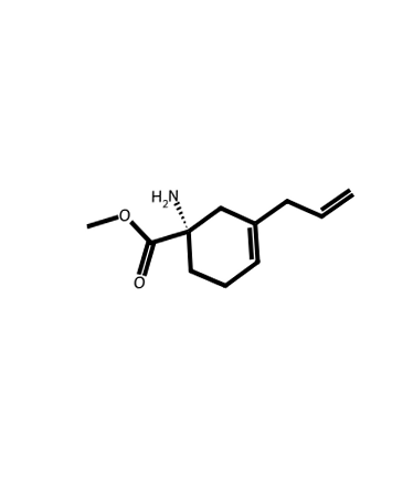 C=CCC1=CCC[C@@](N)(C(=O)OC)C1